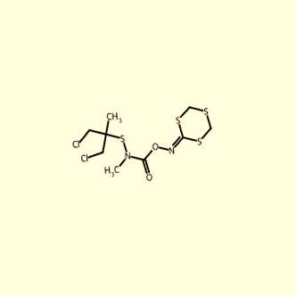 CN(SC(C)(CCl)CCl)C(=O)ON=C1SCSCS1